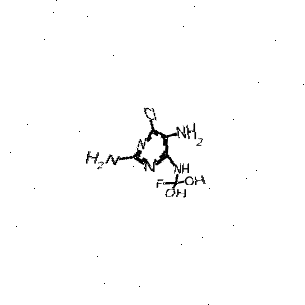 Nc1nc(Cl)c(N)c(NC(O)(O)F)n1